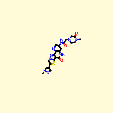 CN1CCN(CC(=O)Nc2cnc3c(c2)[nH]c(=O)c2c3nn3cc(-c4cnn(C)c4)sc23)CC1=O